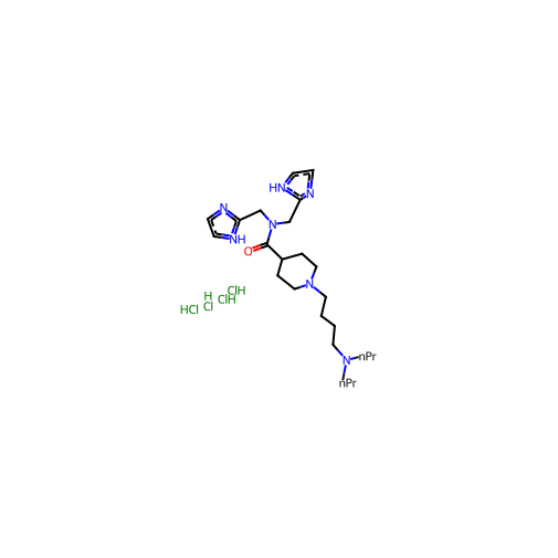 CCCN(CCC)CCCCN1CCC(C(=O)N(Cc2ncc[nH]2)Cc2ncc[nH]2)CC1.Cl.Cl.Cl.Cl